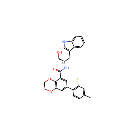 Cc1ccc(-c2cc3c(c(C(=O)N[C@@H](CO)Cc4c[nH]c5ccccc45)c2)OCCO3)c(F)c1